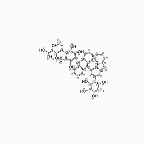 C/C(O)=C(O)\C(O)=C(/CO)c1c(O)c(O)c(-c2c3ccccc3c(-c3cc(C(/C(O)=C(/O)CO)=C(/C)O)cc4oc5ccccc5c34)c3ccccc23)c(O)c1O